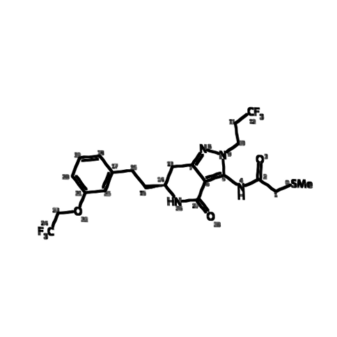 CSCC(=O)Nc1c2c(nn1CCC(F)(F)F)C[C@H](CCc1cccc(OCC(F)(F)F)c1)NC2=O